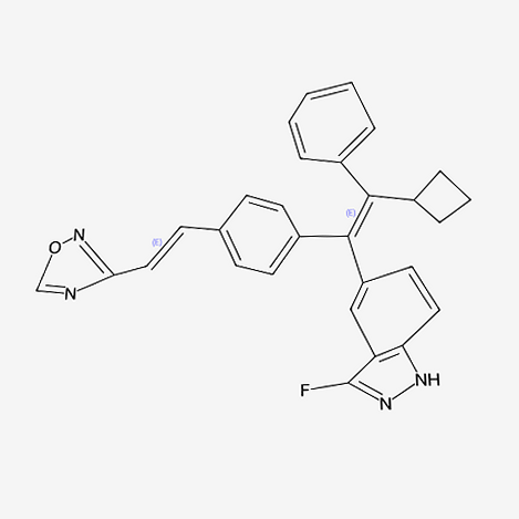 Fc1n[nH]c2ccc(/C(=C(/c3ccccc3)C3CCC3)c3ccc(/C=C/c4ncon4)cc3)cc12